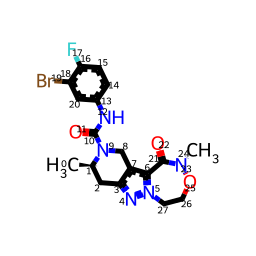 C[C@@H]1Cc2nn3c(c2CN1C(=O)Nc1ccc(F)c(Br)c1)C(=O)N(C)OCC3